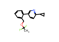 CC(F)(F)OCc1ccccc1-c1ccc(C2CC2)nc1